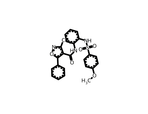 COc1ccc(S(=O)(=O)Nc2ccccc2NC(=O)c2c(C)noc2-c2ccccc2)cc1